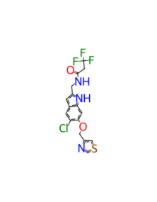 O=C(CC(F)(F)F)NCc1cc2cc(Cl)c(OCc3cscn3)cc2[nH]1